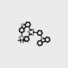 CC1(C)OB(c2ccc3oc4cccc(-c5nc(-c6ccccc6)nc(-c6cccc(-n7c8ccccc8c8ccccc87)c6)n5)c4c3c2)OC1(C)C